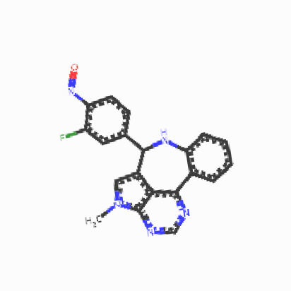 Cn1cc2c3c(ncnc31)-c1ccccc1NC2c1ccc(N=O)c(F)c1